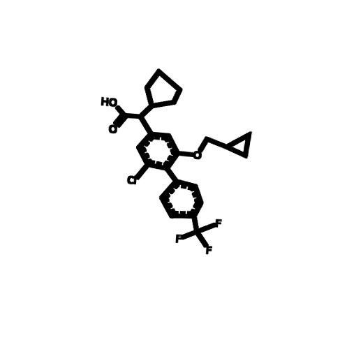 O=C(O)C(c1cc(Cl)c(-c2ccc(C(F)(F)F)cc2)c(OCC2CC2)c1)C1CCCC1